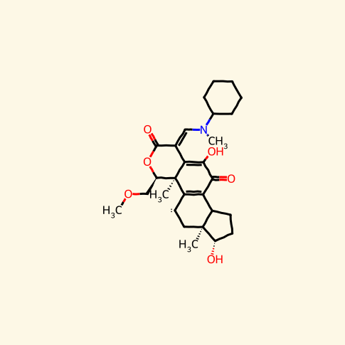 COC[C@H]1OC(=O)/C(=C/N(C)C2CCCCC2)C2=C(O)C(=O)C3=C([C]C[C@@]4(C)C3CC[C@@H]4O)[C@]21C